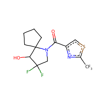 O=C(c1csc(C(F)(F)F)n1)N1CC(F)(F)C(O)C12CCCC2